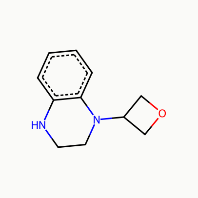 c1ccc2c(c1)NCCN2C1COC1